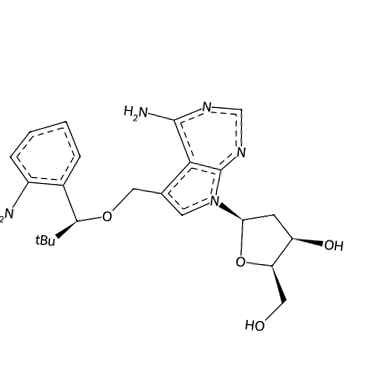 CC(C)(C)[C@H](OCc1cn([C@H]2C[C@@H](O)[C@@H](CO)O2)c2ncnc(N)c12)c1ccccc1[N+](=O)[O-]